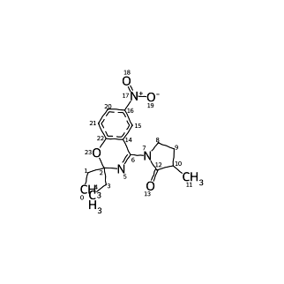 CCC1(CC)N=C(N2CCC(C)C2=O)c2cc([N+](=O)[O-])ccc2O1